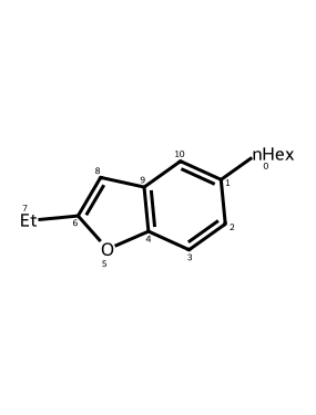 CCCCCCc1ccc2oc(CC)cc2c1